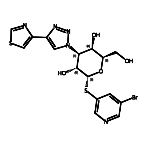 OC[C@H]1O[C@H](Sc2cncc(Br)c2)[C@H](O)[C@@H](n2cc(-c3cscn3)nn2)[C@H]1O